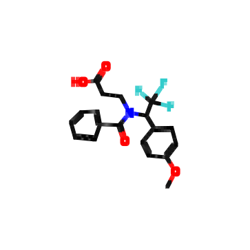 COc1ccc(C(N(CCC(=O)O)C(=O)c2ccccc2)C(F)(F)F)cc1